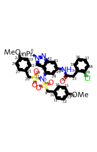 CCCn1cc2c(N(S(=O)(=O)Cc3ccc(OC)cc3)S(=O)(=O)Cc3ccc(OC)cc3)cc(NC(=O)Cc3ccccc3Cl)cc2n1